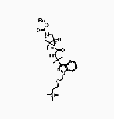 CC(C)(C)OC(=O)N1C[C@@H]2[C@H](C1)[C@H]2C(=O)NC(C)(C)c1nn(COCC[Si](C)(C)C)c2ccccc12